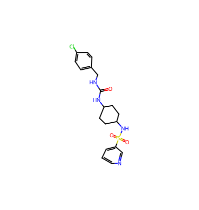 O=C(NCc1ccc(Cl)cc1)NC1CCC(NS(=O)(=O)c2cccnc2)CC1